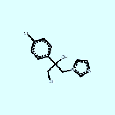 OCC(O)(Cn1ccnc1)c1ccc(Cl)cc1